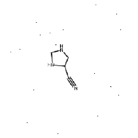 N#CC1CN[CH]N1